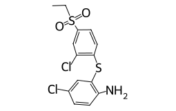 CCS(=O)(=O)c1ccc(Sc2cc(Cl)ccc2N)c(Cl)c1